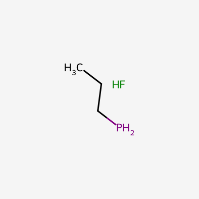 CCCP.F